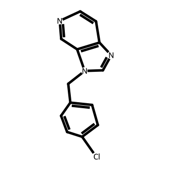 Clc1ccc(Cn2cnc3ccncc32)cc1